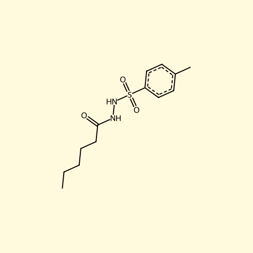 CCCCCC(=O)NNS(=O)(=O)c1ccc(C)cc1